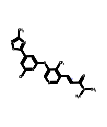 Cc1noc(-c2cc(Cl)nc(Oc3cncc(/C=C/C(=O)N(C)C)c3C(F)(F)F)c2)n1